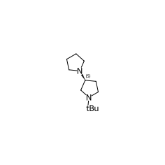 CC(C)(C)N1CC[C@H](N2CCCC2)C1